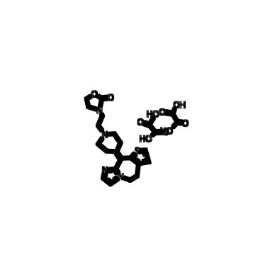 O=C(O)C(=O)O.O=C(O)C(=O)O.O=C1OCCN1CCN1CCC(=C2c3sccc3CCn3ccnc32)CC1